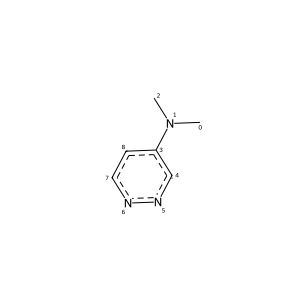 CN(C)c1[c]nncc1